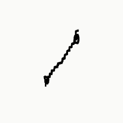 FOCCCCCCCCCCCCCCCCCCCCCCOF